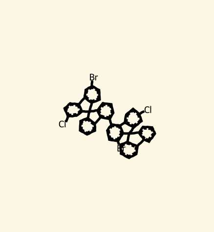 Clc1ccc2c(c1)C1(c3ccc(Br)cc3-2)c2ccccc2-c2c(-c3ccc(Br)c4c3-c3ccc(Cl)cc3C43c4ccccc4-c4ccccc43)cccc21